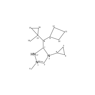 C[N+]1=CN(C2CC2)C(C(C2CCC2)C2(C)CC2)N1